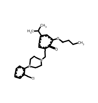 CCCCOc1cc(C(C)C)ccc(CN2CCN(c3ccccc3Cl)CC2)c1=O